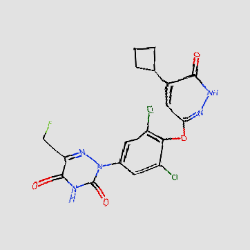 O=c1[nH]nc(Oc2c(Cl)cc(-n3nc(CF)c(=O)[nH]c3=O)cc2Cl)cc1C1CCC1